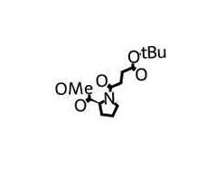 COC(=O)[C@@H]1CCCN1C(=O)CCC(=O)OC(C)(C)C